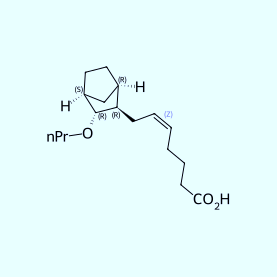 CCCO[C@@H]1[C@H]2CC[C@H](C2)[C@H]1C/C=C\CCCC(=O)O